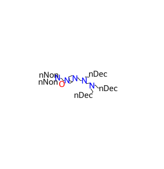 CCCCCCCCCCCCN(CCCCCCCCCCCC)CCN(CCCCCCCCCCCC)CCN1CC2CC1CN2C(=O)CN(CCCCCCCCC)CCCCCCCCC